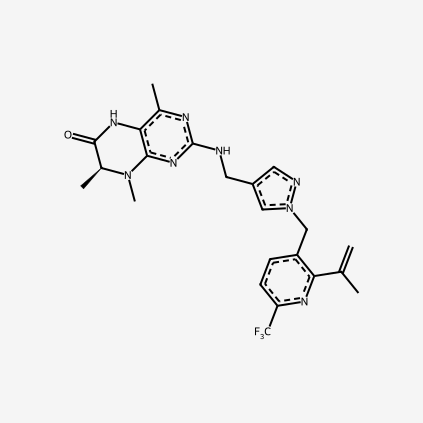 C=C(C)c1nc(C(F)(F)F)ccc1Cn1cc(CNc2nc(C)c3c(n2)N(C)[C@@H](C)C(=O)N3)cn1